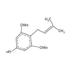 CCCc1cc(OC)c(CC=C(C)C)c(OC)c1